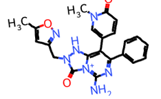 Cc1cc(Cn2[nH]c3c(-c4ccc(=O)n(C)c4)c(-c4ccccc4)nc(N)[n+]3c2=O)no1